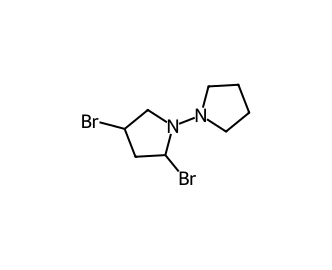 BrC1CC(Br)N(N2CCCC2)C1